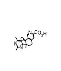 Cc1cc(C2(C)CCc3cc(C(=O)O)ncc3C2=O)nc(C)n1